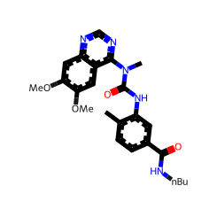 CCCCNC(=O)c1ccc(C)c(NC(=O)N(C)c2ncnc3cc(OC)c(OC)cc23)c1